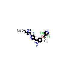 COCCC1(N)CN(c2ncc(-c3n[nH]c4ccc(O[C@H](C)c5c(Cl)cncc5Cl)cc34)cc2F)C1